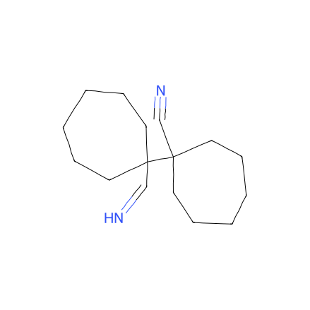 N#CC1(C2(C=N)CCCCCC2)CCCCCC1